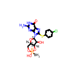 B[PH]1(O)OC[C@H]2O[C@@H](n3c(Sc4ccc(Cl)cc4)nc4c(=O)[nH]c(N)nc43)C(O)[C@H]2O1